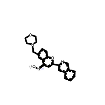 O/N=c1/cc(-c2cc3ccccc3cn2)oc2ccc(CN3CCOCC3)cc12